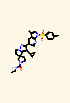 CCNC(=O)N1CCC2(CCn3nc(-c4cnc5c(c4)c(C)cn5S(=O)(=O)c4ccc(C)cc4)c(C4CC4)c32)C1